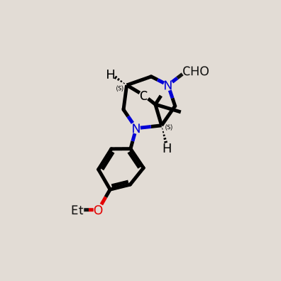 CCOc1ccc(N2C[C@H]3CN(C=O)C[C@@H]2C(C)(C)C3)cc1